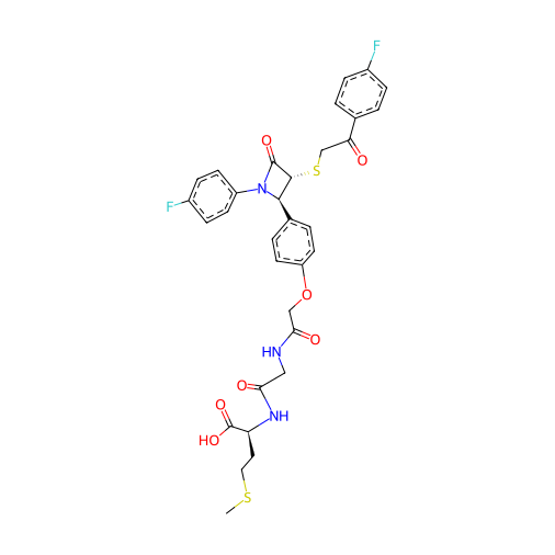 CSCC[C@H](NC(=O)CNC(=O)COc1ccc([C@@H]2[C@@H](SCC(=O)c3ccc(F)cc3)C(=O)N2c2ccc(F)cc2)cc1)C(=O)O